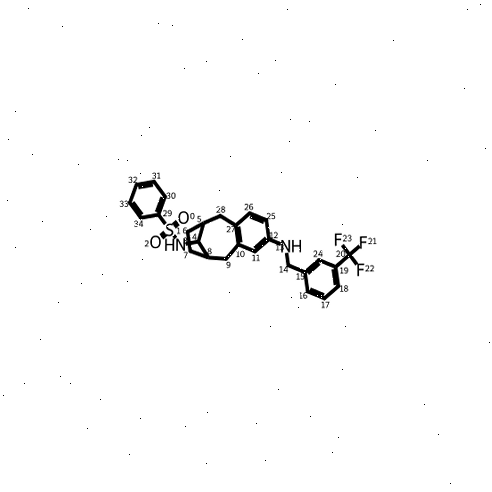 O=S(=O)(NC1C2CCC1Cc1cc(NCc3cccc(C(F)(F)F)c3)ccc1C2)c1ccccc1